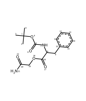 CC(C)(C)OC(=O)NC(Cc1ccccc1)C(=O)OCC(N)=O